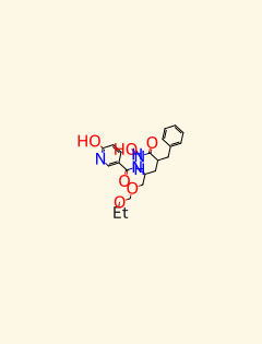 CCOCOCC(CC(Cc1ccccc1)C(=O)NO)NC(=O)c1ccc(O)nc1